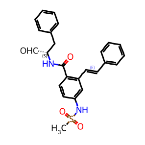 CS(=O)(=O)Nc1ccc(C(=O)N[C@H](C=O)Cc2ccccc2)c(/C=C/c2ccccc2)c1